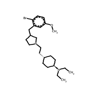 CCN(CC)[C@H]1CC[C@H](CCN2CCC(Cc3cc(OC)ccc3Br)C2)CC1